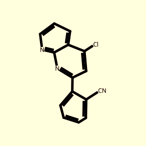 N#Cc1ccccc1-c1cc(Cl)c2cccnc2n1